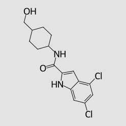 O=C(NC1CCC(CO)CC1)c1cc2c(Cl)cc(Cl)cc2[nH]1